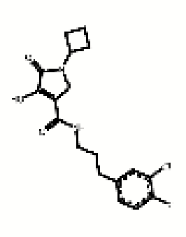 O=C(NCCCc1ccc(Cl)c(Cl)c1)C1=C(O)C(=O)N(C2CCC2)C1